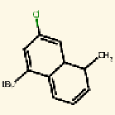 CC1C=CC=C2C(C(C)(C)C)=CC(Cl)=CC21